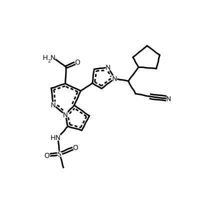 CS(=O)(=O)Nc1ccc2c(-c3cnn(C(CC#N)C4CCCC4)c3)c(C(N)=O)cnn12